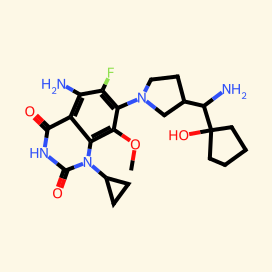 COc1c(N2CCC(C(N)C3(O)CCCC3)C2)c(F)c(N)c2c(=O)[nH]c(=O)n(C3CC3)c12